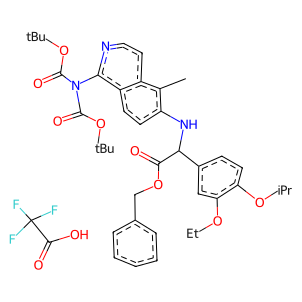 CCOc1cc(C(Nc2ccc3c(N(C(=O)OC(C)(C)C)C(=O)OC(C)(C)C)nccc3c2C)C(=O)OCc2ccccc2)ccc1OC(C)C.O=C(O)C(F)(F)F